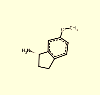 COc1ccc2c(c1)[C@@H](N)CC2